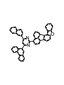 c1ccc2cc(-c3cc(-c4cc5ccccc5c5ccccc45)nc(-c4ccc5c6c(cccc46)-c4c-5ccc5oc6ccccc6c45)n3)ccc2c1